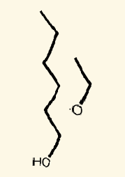 CCCCCCO.CC[O]